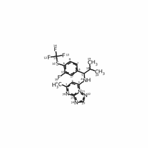 Cc1cc(NC(c2ccc(SC(F)(F)F)c(F)c2)C(C)C)n2ncnc2n1